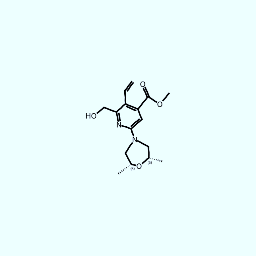 C=Cc1c(C(=O)OC)cc(N2C[C@@H](C)O[C@@H](C)C2)nc1CO